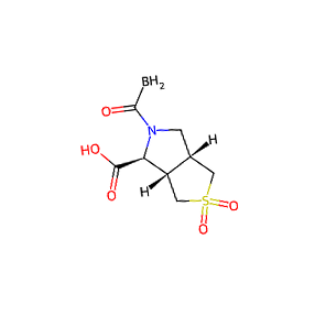 BC(=O)N1C[C@@H]2CS(=O)(=O)C[C@@H]2[C@H]1C(=O)O